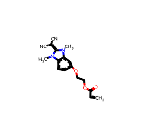 C=CC(=O)OCCOc1ccc2c(c1)N(C)C(=C(C#N)C#N)N2C